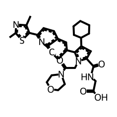 Cc1nc(C)c(-c2ccc3cc(-c4c(C5CCCCC5)cc(C(=O)NCC(=O)O)n4CC(=O)N4CCOCC4)ccc3n2)s1